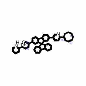 C/C=C(\C=C/C(CCC)c1ccccn1)c1ccc2c(c1)C1(c3ccccc3-c3ccccc31)c1cc(-c3ccc(/C4=C/C=C\C=C/CC4)nc3)ccc1-2